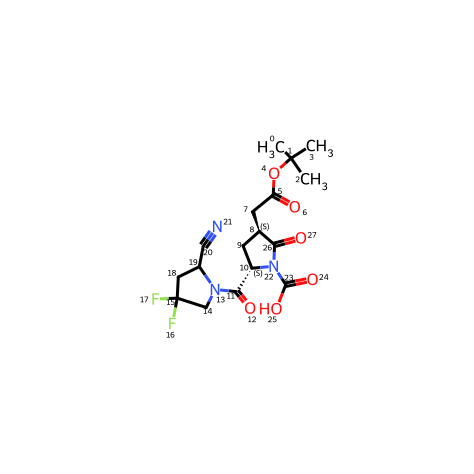 CC(C)(C)OC(=O)C[C@@H]1C[C@@H](C(=O)N2CC(F)(F)CC2C#N)N(C(=O)O)C1=O